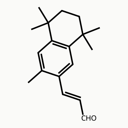 Cc1cc2c(cc1C=CC=O)C(C)(C)CCC2(C)C